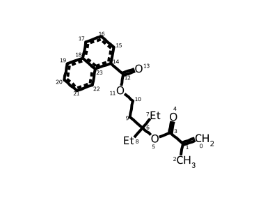 C=C(C)C(=O)OC(CC)(CC)CCOC(=O)c1cccc2ccccc12